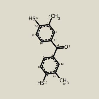 Cc1cc(C(=O)c2ccc(S)c(C)c2)ccc1S